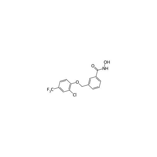 O=C(NO)c1cccc(COc2ccc(C(F)(F)F)cc2Cl)c1